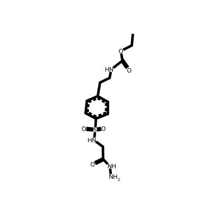 CCOC(=O)NCCc1ccc(S(=O)(=O)NCC(=O)NN)cc1